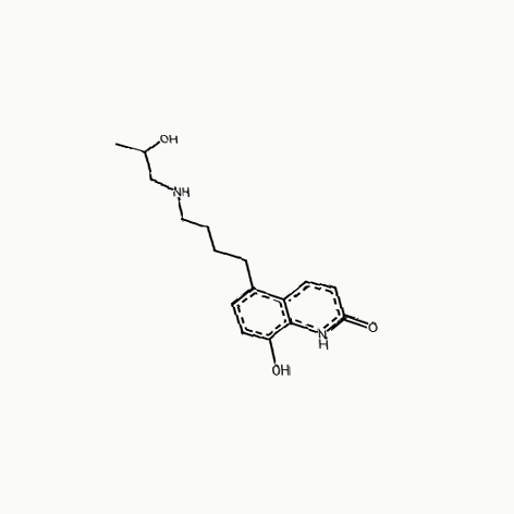 CC(O)CNCCCCc1ccc(O)c2[nH]c(=O)ccc12